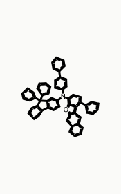 c1ccc(-c2ccc(N(c3ccc4c(c3)C(c3ccccc3)(c3ccccc3)c3ccccc3-4)c3ccc(-c4ccccc4)c4c3oc3cc5ccccc5cc34)cc2)cc1